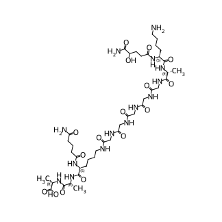 C[C@@H](NC(=O)[C@@H](C)NC(=O)[C@H](CCCCNC(=O)CNC(=O)CNC(=O)CNC(=O)CNC(=O)CNC(=O)[C@@H](C)NC(=O)[C@H](CCCCN)NC(=O)CCC(O)C(N)=O)NC(=O)CCCC(N)=O)C(=O)O